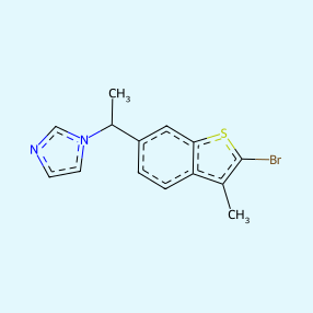 Cc1c(Br)sc2cc(C(C)n3ccnc3)ccc12